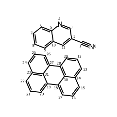 N#Cc1cnc2ccccc2c1.c1cc2cccc3c4cccc5cccc(c(c1)c23)c54